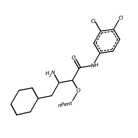 CCCCCOC(C(=O)Nc1ccc(Cl)c(Cl)c1)C(N)CC1CCCCC1